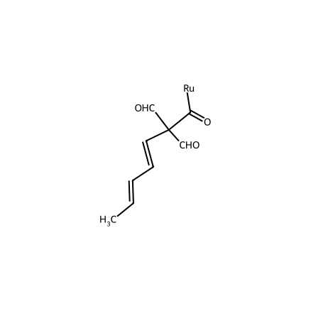 CC=CC=CC(C=O)(C=O)[C](=O)[Ru]